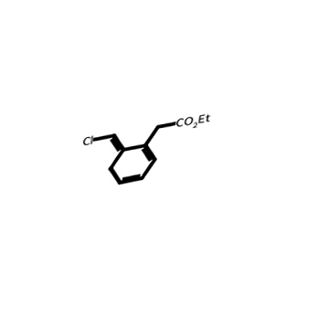 CCOC(=O)CC1=CC=CCC1=CCl